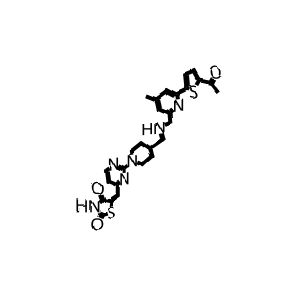 CC(=O)c1ccc(-c2cc(C)cc(CNCC3CCN(c4nccc(/C=C5/SC(=O)NC5=O)n4)CC3)n2)s1